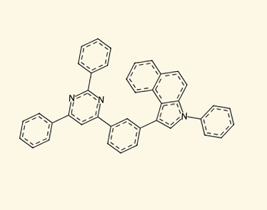 c1ccc(-c2cc(-c3cccc(-c4cn(-c5ccccc5)c5ccc6ccccc6c45)c3)nc(-c3ccccc3)n2)cc1